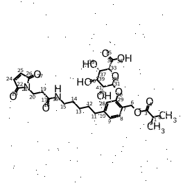 CC(C)C(=O)OCc1ccc(CCCCCNC(=O)CCN2C(=O)C=CC2=O)cc1O[C@@H]1O[C@H](C(=O)O)[C@@H](O)[C@H](O)[C@H]1O